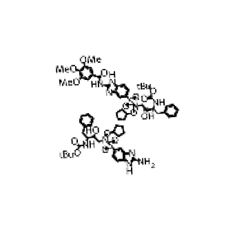 CC(C)(C)OC(=O)NC(Cc1ccccc1)C(O)CN(OC1CCCC1)S(=O)(=O)c1ccc2[nH]c(N)nc2c1.COc1cc(C(=O)Nc2nc3cc(S(=O)(=O)N(C[C@@H](O)[C@H](Cc4ccccc4)NC(=O)OC(C)(C)C)OC4CCCC4)ccc3[nH]2)cc(OC)c1OC